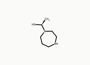 C[C@H](S)N1CCCNCC1